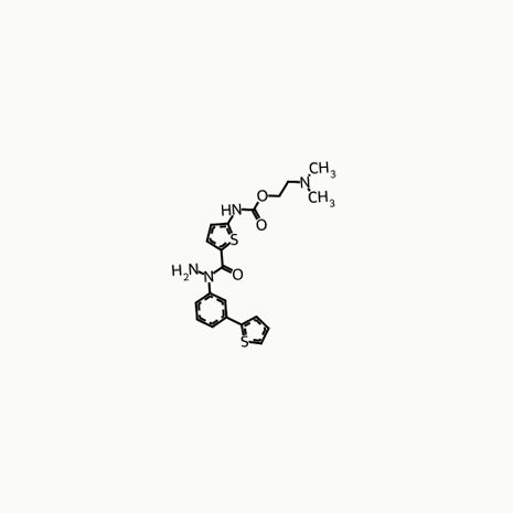 CN(C)CCOC(=O)Nc1ccc(C(=O)N(N)c2cccc(-c3cccs3)c2)s1